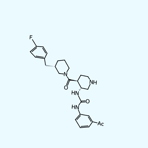 CC(=O)c1cccc(NC(=O)N[C@H]2CNCC[C@@H]2C(=O)N2CCC[C@@H](Cc3ccc(F)cc3)C2)c1